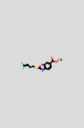 COC(=O)c1ccc2nc(SCCC=C(F)F)oc2c1